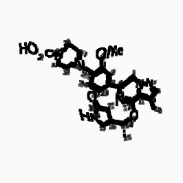 COc1cc(-c2cn3ncc(C)c3c(O[C@H](C)C3CNC(=O)C3)n2)ccc1N1CCN(C(=O)O)CC1